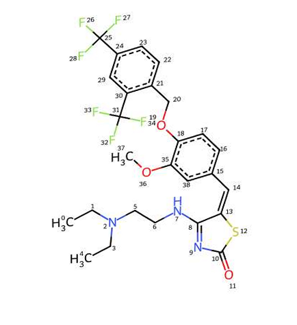 CCN(CC)CCNC1=NC(=O)SC1=Cc1ccc(OCc2ccc(C(F)(F)F)cc2C(F)(F)F)c(OC)c1